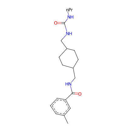 CCCNC(=O)NCC1CCC(CNC(=O)c2cccc(C)c2)CC1